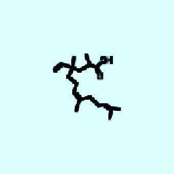 C=CC(C)(CCC=C(C)CCC=C(C)C)CC(C)C(=O)O